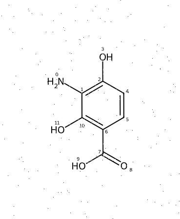 Nc1c(O)ccc(C(=O)O)c1O